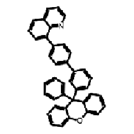 c1ccc(C2(c3cccc(-c4ccc(-c5cccc6cccnc56)cc4)c3)c3ccccc3Oc3ccccc32)cc1